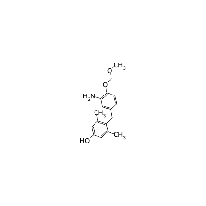 COCOc1ccc(Cc2c(C)cc(O)cc2C)cc1N